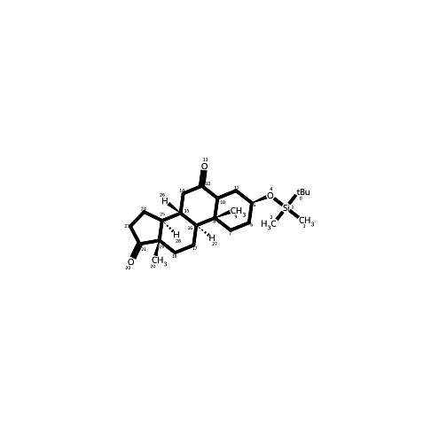 CC(C)(C)[Si](C)(C)O[C@H]1CC[C@@]2(C)C(C1)C(=O)C[C@@H]1[C@@H]2CC[C@]2(C)C(=O)CC[C@@H]12